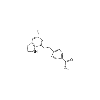 COC(=O)c1ccc(CCc2cc(F)cc3c2NCC3)cc1